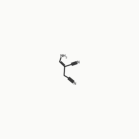 N#CCC(C#N)=CN